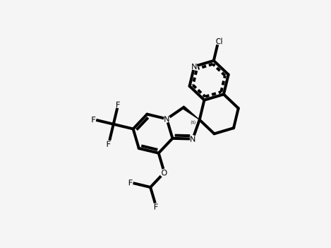 FC(F)OC1=CC(C(F)(F)F)=CN2C[C@@]3(CCCc4cc(Cl)ncc43)N=C12